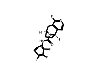 O=C(Nc1ccc(F)c(F)c1F)N1[C@H]2CC[C@@H]1c1ccnc(F)c1C2